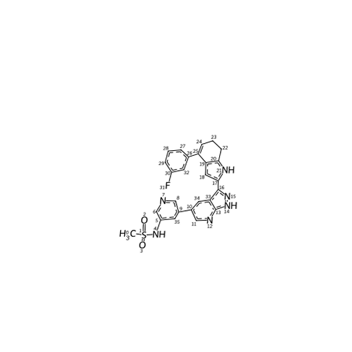 CS(=O)(=O)Nc1cncc(-c2cnc3[nH]nc(-c4cc5c([nH]4)CCC=C5c4cccc(F)c4)c3c2)c1